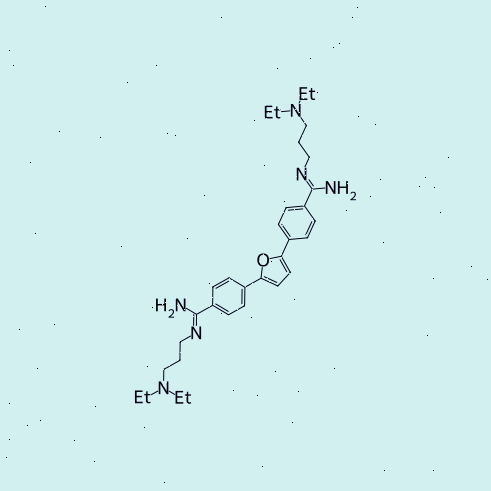 CCN(CC)CCCN=C(N)c1ccc(-c2ccc(-c3ccc(C(N)=NCCCN(CC)CC)cc3)o2)cc1